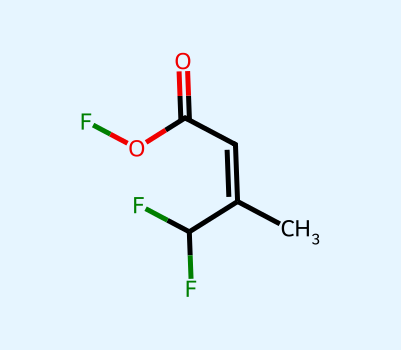 CC(=CC(=O)OF)C(F)F